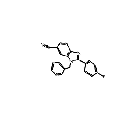 N#Cc1ccc2nc(-c3ccc(F)cc3)n(Cc3ccccc3)c2c1